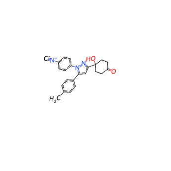 [C-]#[N+]c1ccc(-n2nc(C3(O)CCC(=O)CC3)cc2-c2ccc(C)cc2)cc1